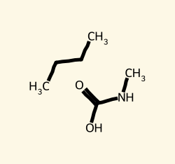 CCCC.CNC(=O)O